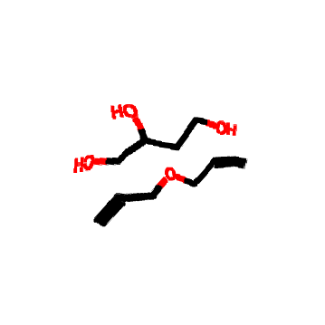 C=CCOCC=C.OCCC(O)CO